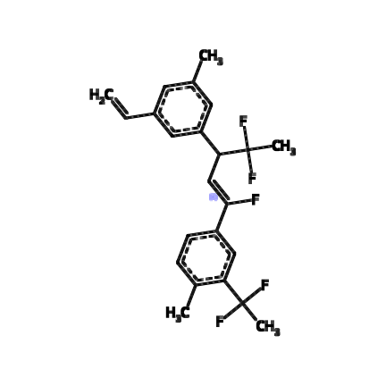 C=Cc1cc(C)cc(C(/C=C(\F)c2ccc(C)c(C(C)(F)F)c2)C(C)(F)F)c1